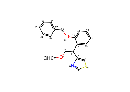 O=COCC(c1cscn1)c1ccccc1OCc1ccccc1